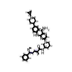 C=N/C(=C\C=C(/C)C(=O)N[C@@H]1CCCN(c2cnc(C(N)=O)c(Nc3ccc(C4CCN(C5CC5)CC4)cc3)n2)C1)c1ccccc1